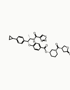 C[C@H](NC(=O)c1csnn1)[C@H](Oc1ccc(C(=O)O[C@H]2CCCN(C(=O)[C@H]3COC(=O)C3)C2)cc1)c1ccc(C2CC2)cc1